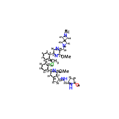 COc1nc(-c2cccc(-c3cccc(-c4cc5c(c(OC)n4)[C@@H](NC[C@@H]4CCC(=O)N4)CC5)c3Cl)c2C)cnc1CN1CC2(C1)CN(C(C)=O)C2